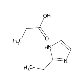 CCC(=O)O.CCc1ncc[nH]1